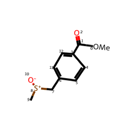 COC(=O)c1ccc(C[S+](C)[O-])cc1